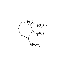 CCCCCN1CCCCC1CCCC.CS(=O)(=O)O